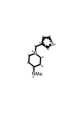 CNC1CCN(Cc2ccsc2)CC1